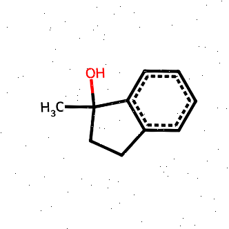 CC1(O)CCc2ccccc21